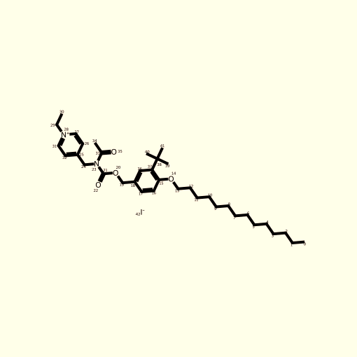 CCCCCCCCCCCCCCOc1ccc(COC(=O)N(Cc2cc[n+](CC)cc2)C(C)=O)cc1C(C)(C)C.[I-]